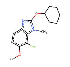 CC(C)Oc1ccc2nc(OC3CCCCC3)n(C)c2c1F